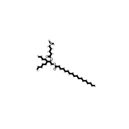 CCCCCCCCCCCCCCCCCC(=O)OCC(OC(=O)CCCCN(C)C)C(CCCC)CCCCC